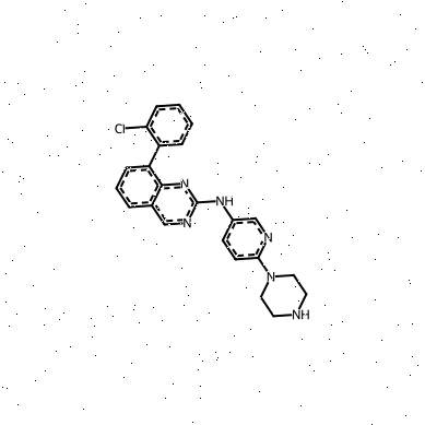 Clc1ccccc1-c1cccc2cnc(Nc3ccc(N4CCNCC4)nc3)nc12